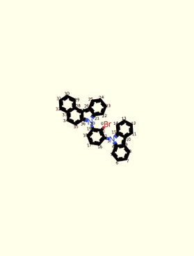 Brc1c(-n2c3ccccc3c3ccccc32)cccc1-n1c2ccccc2c2c3ccccc3ccc21